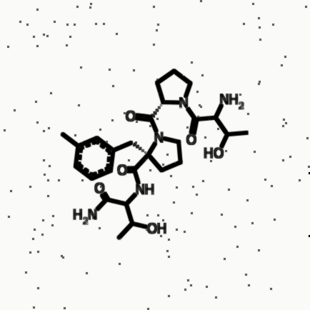 Cc1cccc(C[C@@]2(C(=O)NC(C(N)=O)C(C)O)CCCN2C(=O)[C@@H]2CCCN2C(=O)C(N)C(C)O)c1